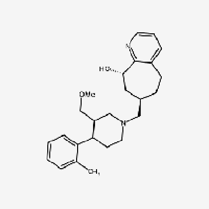 COCC1CN(C[C@@H]2CCc3cccnc3[C@@H](O)C2)CCC1c1ccccc1C